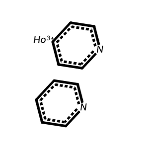 [Ho+3].c1ccncc1.c1ccncc1